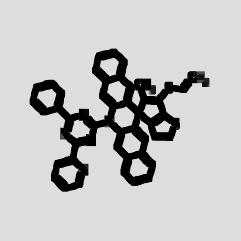 C=CSC1=C(C)C2(c3cc4ccccc4cc3N(c3nc(-c4ccccc4)nc(-c4ccccn4)n3)c3cc4ccccc4cc32)c2ccsc21